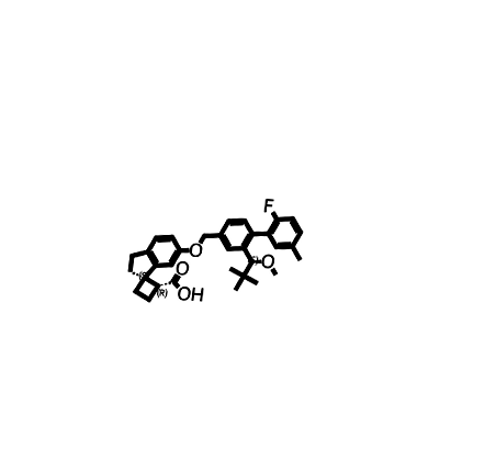 CO[C@H](c1cc(COc2ccc3c(c2)[C@]2(CC3)CC[C@H]2C(=O)O)ccc1-c1cc(C)ccc1F)C(C)(C)C